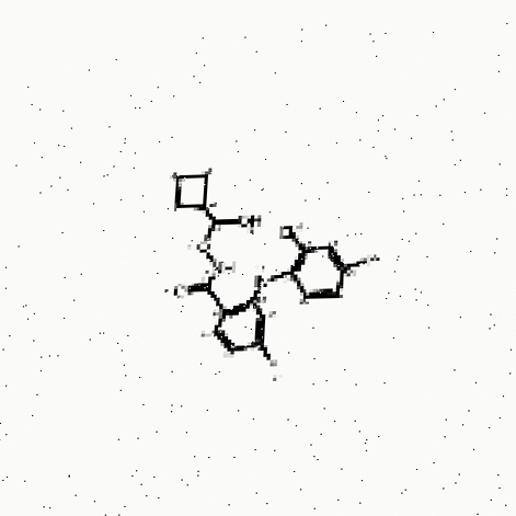 O=C(NOC(O)C1CCC1)c1ccc(F)cc1Nc1ccc(I)cc1Cl